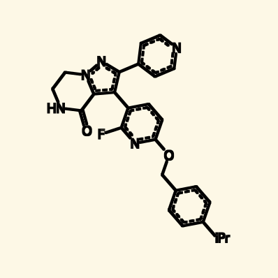 CC(C)c1ccc(COc2ccc(-c3c(-c4ccncc4)nn4c3C(=O)NCC4)c(F)n2)cc1